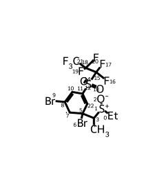 CC[S+]([O-])C(C)C1(Br)[CH]C(Br)=CC(S(=O)(=O)C(F)(F)C(F)(F)C(F)(F)F)=C1